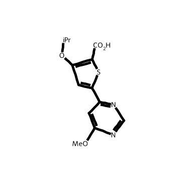 COc1cc(-c2cc(OC(C)C)c(C(=O)O)s2)ncn1